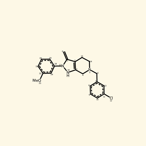 C=C1C2=C(CN(Cc3cccc(Cl)c3)CC2)NN1c1cccc(OC)c1